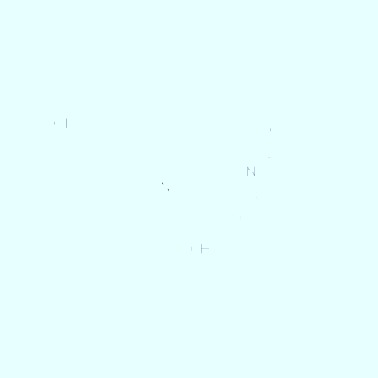 CCCN(CCCN1C(=O)c2ccccc2C1=O)C1CCc2c(O)cccc2C1